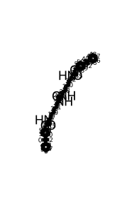 CC(C)(c1ccccc1)c1ccc(OC(=O)NCCCCCCNC(=O)NCCCCCCNC(=O)Oc2ccc(C(C)(C)c3ccccc3)cc2)cc1